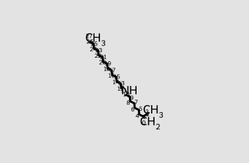 C=C(CC)CCCCCCCNCCCCCCCCCCCCCCCC